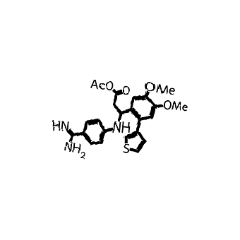 COc1cc(-c2ccsc2)c(C(CC(=O)OC(C)=O)Nc2ccc(C(=N)N)cc2)cc1OC